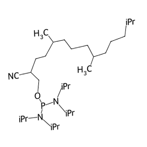 CC(C)CCCC(C)CCCC(C)CCC(C#N)COP(N(C(C)C)C(C)C)N(C(C)C)C(C)C